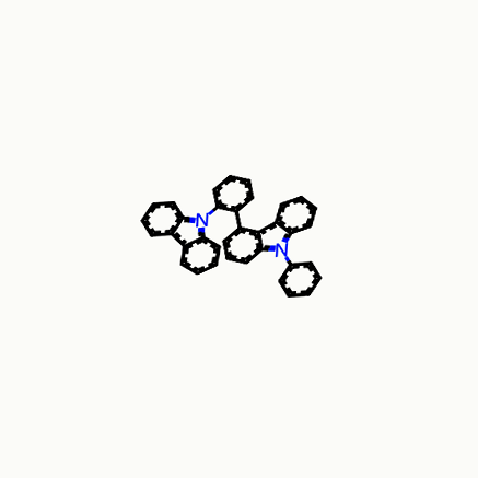 c1ccc(-n2c3ccccc3c3c(-c4ccccc4-n4c5ccccc5c5ccccc54)cccc32)cc1